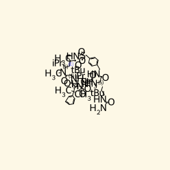 C/C(=C\[C@H](C(C)C)N(C)C(=O)[C@@H](NC(=O)[C@@H](N(C)C(=O)OC(C)(C)C)C(C)(C)c1ccccc1)C(C)(C)C)C(=O)NS(=O)(=O)Cc1ccc(CNC(=O)[C@H](CCCNC(N)=O)NC(=O)[C@@H](N)C(C)C)cc1